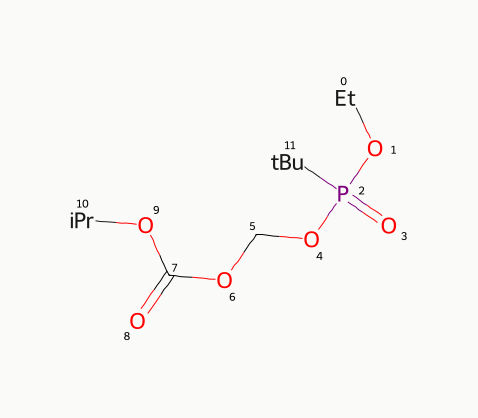 CCOP(=O)(OCOC(=O)OC(C)C)C(C)(C)C